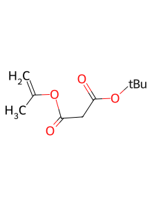 C=C(C)OC(=O)CC(=O)OC(C)(C)C